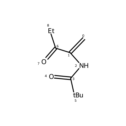 C=C(NC(=O)C(C)(C)C)C(=O)CC